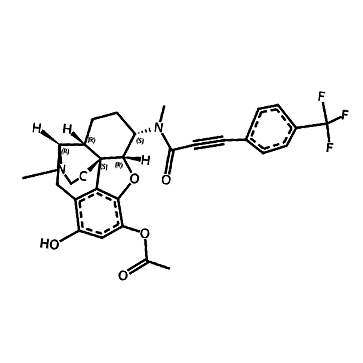 CC(=O)Oc1cc(O)c2c3c1O[C@H]1[C@@H](N(C)C(=O)C#Cc4ccc(C(F)(F)F)cc4)CC[C@H]4[C@@H](C2)N(C)CC[C@@]341